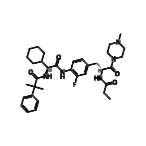 CCC(=O)N[C@H](Cc1ccc(NC(=O)[C@@H](NC(=O)C(C)(C)c2ccccc2)C2CCCCC2)c(F)c1)C(=O)N1CCN(C)CC1